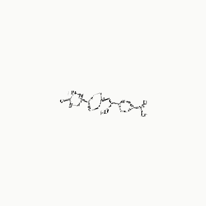 O=C1NN=C(C2=CCN(CC(O)c3ccc([N+](=O)[O-])cc3)CC2)CS1